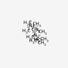 CCN(C)C(C)(C)CC(C)CN(C)C[PH](C)(C)C